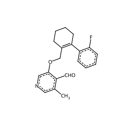 Cc1cncc(OCC2=C(c3ccccc3F)CCCC2)c1C=O